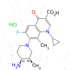 Cc1c(N2CC[C@H](N)[C@H](C)C2)c(F)cc2c(=O)c(C(=O)O)cn(C3CC3)c12.Cl